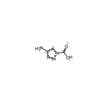 Nc1cnn(C(=O)O)c1